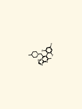 Cc1nc2ncnn2c(CN2CCC(C)CC2)c1-c1c(F)cc(F)cc1F